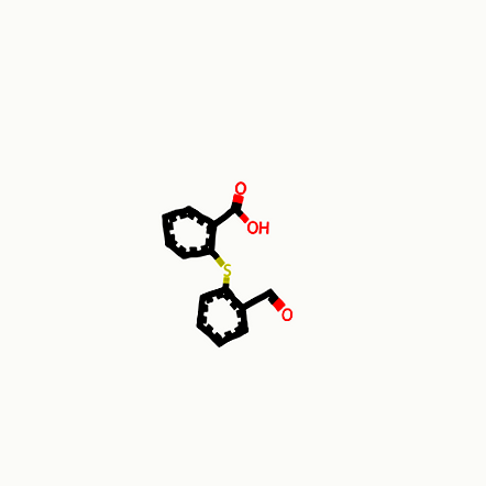 O=Cc1ccccc1Sc1ccccc1C(=O)O